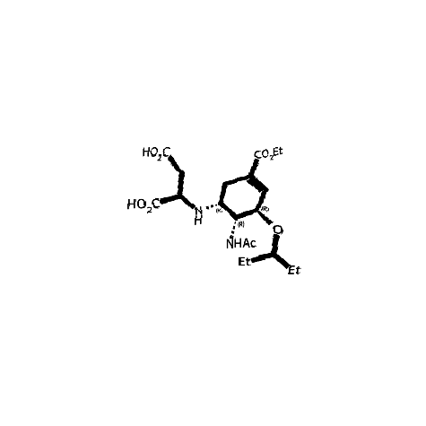 CCOC(=O)C1=C[C@@H](OC(CC)CC)[C@H](NC(C)=O)[C@H](NC(CC(=O)O)C(=O)O)C1